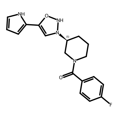 O=C(c1ccc(F)cc1)N1CCC[C@H](N2C=C(c3ccc[nH]3)ON2)C1